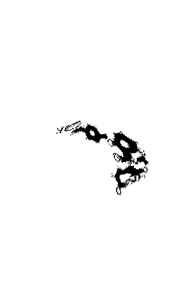 Cc1nc2cccc(OCc3ccc(CO)cc3)c2c(=O)n1C1CCC(=O)NC1=O